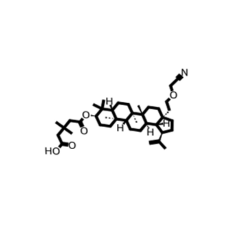 C=C(C)[C@@H]1CC[C@]2(CCOCC#N)CC[C@]3(C)[C@H](CC[C@@H]4[C@@]5(C)CC[C@H](OC(=O)CC(C)(C)CC(=O)O)C(C)(C)[C@@H]5CC[C@]43C)[C@@H]12